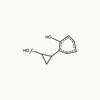 O=C(O)C1CC1c1ccccc1O